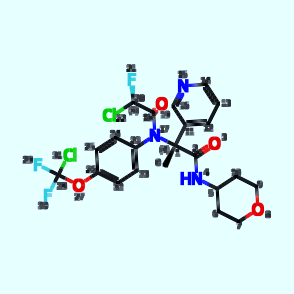 C[C@](C(=O)NC1CCOCC1)(c1cccnc1)N(C(=O)[C@H](F)Cl)c1ccc(OC(F)(F)Cl)cc1